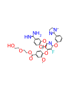 COc1cc(C(=O)OCCOCCO)ccc1Oc1c(F)c(Oc2cccc(C3=NCCN3C)c2)nc(Oc2cc(C(=N)N)ccc2O)c1F